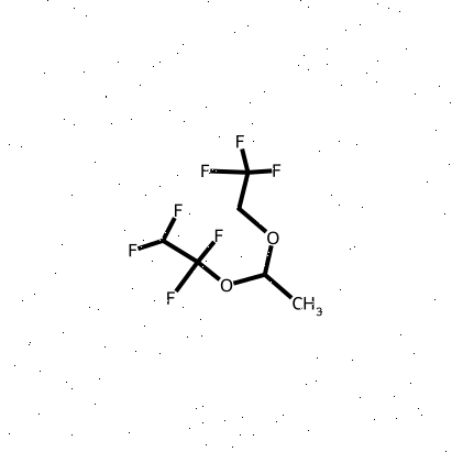 CC(OCC(F)(F)F)OC(F)(F)C(F)F